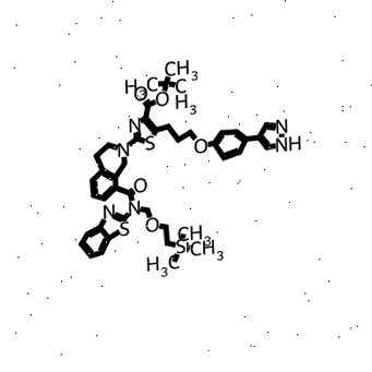 CC(C)(C)OC(=O)c1nc(N2CCc3cccc(C(=O)N(COCC[Si](C)(C)C)c4nc5ccccc5s4)c3C2)sc1CCCOc1ccc(-c2cn[nH]c2)cc1